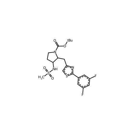 CC(C)(C)OC(=O)N1CCC(NS(C)(=O)=O)C1Cc1csc(-c2cc(F)cc(F)c2)n1